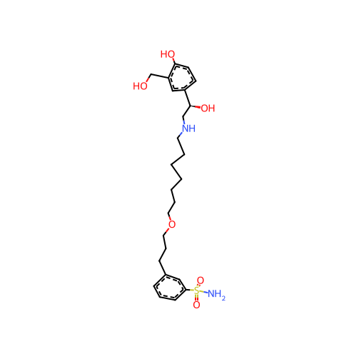 NS(=O)(=O)c1cccc(CCCOCCCCCCCNC[C@H](O)c2ccc(O)c(CO)c2)c1